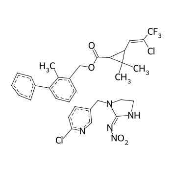 Cc1c(COC(=O)C2C(/C=C(\Cl)C(F)(F)F)C2(C)C)cccc1-c1ccccc1.O=[N+]([O-])/N=C1\NCCN1Cc1ccc(Cl)nc1